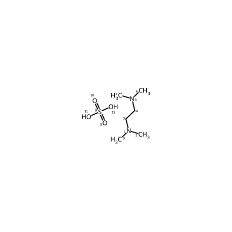 CN(C)CCN(C)C.O=S(=O)(O)O